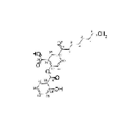 CCCCCCCC(=O)c1ccc(OC(=O)c2ccccc2O)c(C(=O)O)c1